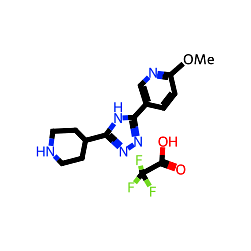 COc1ccc(-c2nnc(C3CCNCC3)[nH]2)cn1.O=C(O)C(F)(F)F